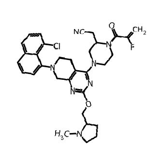 C=C(F)C(=O)N1CCN(c2nc(OCC3CCCN3C)nc3c2CCN(c2cccc4cccc(Cl)c24)C3)CC1CC#N